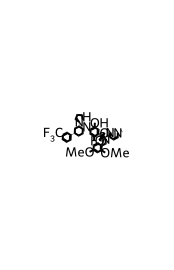 C=N/C=C\C(=N/C)N(Cc1ccc(OC)cc1OC)S(=O)(=O)c1cc(O)c(N[C@H]2CC[C@H](c3cccc(C(F)(F)F)c3)C[C@@H]2N2CCCC2)cc1F